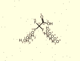 O.O.O.O.O.O.O.O.O.O=C(O)C(F)(F)F